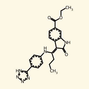 CCCC(Nc1ccc(-c2nnn[nH]2)cc1)=C1C(=O)Nc2cc(C(=O)OCC)ccc21